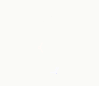 c1cc(OCCC2CC2)ccn1